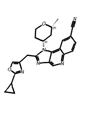 C[C@@H]1C[C@H](n2c(Cc3coc(C4CC4)n3)nc3cnc4ccc(C#N)cc4c32)CCO1